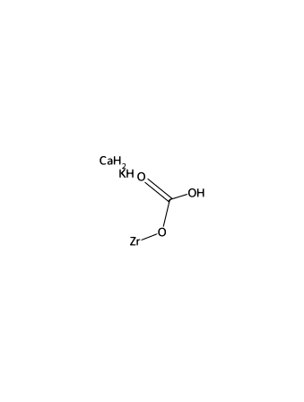 O=C(O)[O][Zr].[CaH2].[KH]